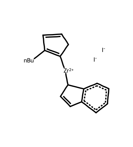 CCCCC1=[C]([Zr+2][CH]2C=Cc3ccccc32)CC=C1.[I-].[I-]